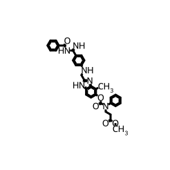 COC(=O)CCN(C(=O)Oc1ccc2[nH]c(CNc3ccc(C(=N)NC(=O)c4ccccc4)cc3)nc2c1C)c1ccccc1